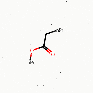 [CH2]C([CH2])OC(=O)CCCC